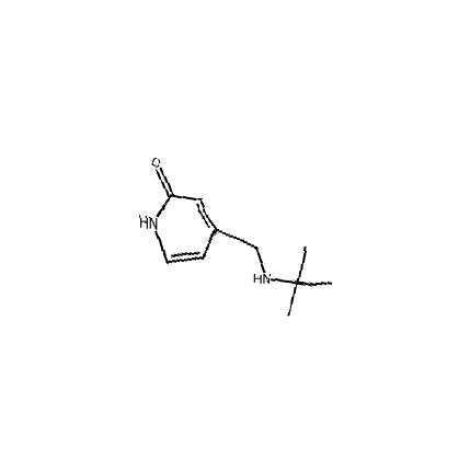 CC(C)(C)NCc1cc[nH]c(=O)c1